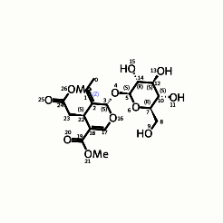 C/C=C1\[C@H](O[C@@H]2O[C@H](CO)[C@@H](O)[C@H](O)[C@H]2O)OC=C(C(=O)OC)[C@H]1CC(=O)OC